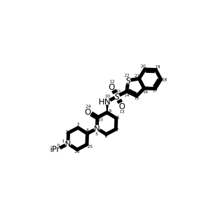 CC(C)N1CCC(N2CCC[C@H](NS(=O)(=O)C3=CC4C=CC=CC4S3)C2=O)CC1